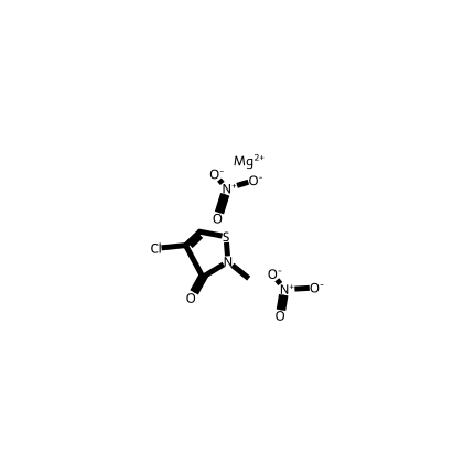 Cn1scc(Cl)c1=O.O=[N+]([O-])[O-].O=[N+]([O-])[O-].[Mg+2]